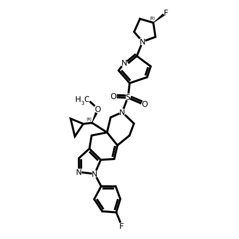 CO[C@H](C1CC1)C12Cc3cnn(-c4ccc(F)cc4)c3C=C1CCN(S(=O)(=O)c1ccc(N3CC[C@@H](F)C3)nc1)C2